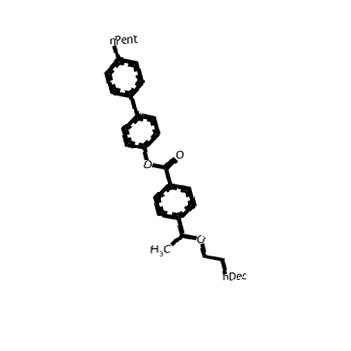 CCCCCCCCCCCCOC(C)c1ccc(C(=O)Oc2ccc(-c3ccc(CCCCC)cc3)cc2)cc1